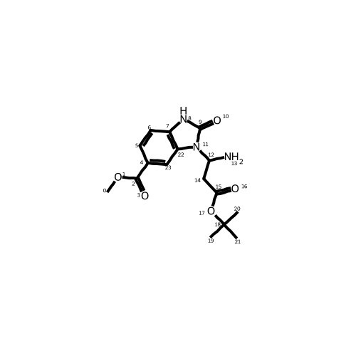 COC(=O)c1ccc2[nH]c(=O)n(C(N)CC(=O)OC(C)(C)C)c2c1